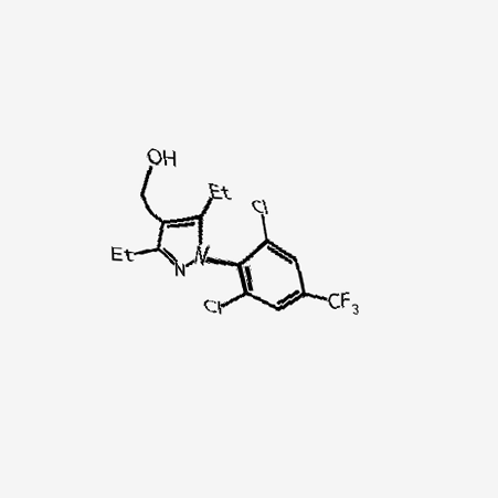 CCc1nn(-c2c(Cl)cc(C(F)(F)F)cc2Cl)c(CC)c1CO